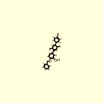 Cc1cc(-c2ccc(OCc3ccccc3)c(O)c2)c(C)cc1-c1ccc(F)cc1